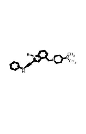 CCn1c(C#CNc2ccccc2)cc2c(CN3CCC(N(C)C)CC3)cccc21